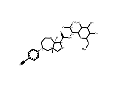 CSC1OC([C@H](NC(=O)[C@H]2NC[C@@H]3C[C@H](c4ccc(C#N)cc4)CCO[C@H]32)[C@H](C)Cl)C(O)C(O)C1O